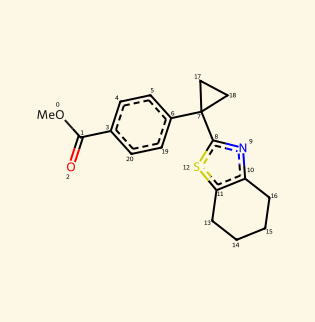 COC(=O)c1ccc(C2(c3nc4c(s3)CCCC4)CC2)cc1